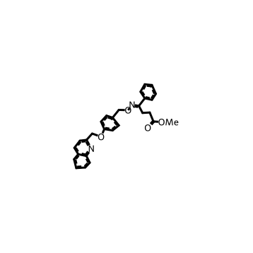 COC(=O)CC/C(=N\OCc1ccc(OCc2ccc3ccccc3n2)cc1)c1ccccc1